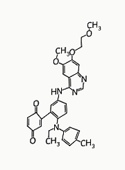 CCN(c1ccc(C)cc1)c1ccc(Nc2ncnc3cc(OCCOC)c(OC)cc23)cc1C1=CC(=O)C=CC1=O